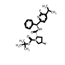 CC(C)c1ccc([C@@H](NC(=O)[C@@H]2C[C@@H](F)CN2C(=O)OC(C)(C)C)c2ccccc2)nc1F